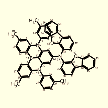 Cc1cccc(N2c3cc(C)ccc3B3c4ccc(C)cc4N(c4cccc(C)c4)c4cc(N(c5cccc6c5oc5ccccc56)c5cccc6c5oc5ccccc56)cc2c43)c1